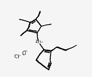 CCCC1=[C]([Zr+2][C]2=C(C)C(C)=C(C)C2C)CC=C1.[Cl-].[Cl-]